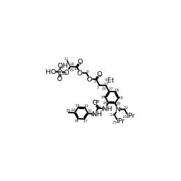 CC[C@@H](CC(=O)OCOC(=O)[C@H](C)OP(=O)(O)O)c1ccc(N(CC(C)C)CC(C)C)c(NC(=O)Nc2ccc(C)cc2)c1